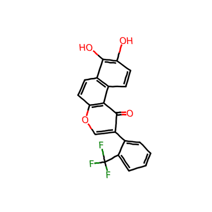 O=c1c(-c2ccccc2C(F)(F)F)coc2ccc3c(O)c(O)ccc3c12